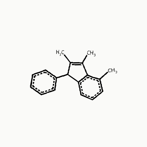 CC1=C(C)C(c2ccccc2)c2cccc(C)c21